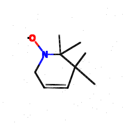 CC1(C)C=CCN([O])C1(C)C